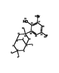 CC1(C)CC2CC(C)(C1)CC(C)(c1cc(F)cc(Br)c1O)C2